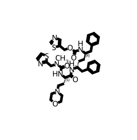 CN(Cc1nccs1)C(=O)N[C@@H](CCN1CCOCC1)C(=O)N[C@H](CC[C@H](Cc1ccccc1)NC(=O)OCc1cncs1)Cc1ccccc1